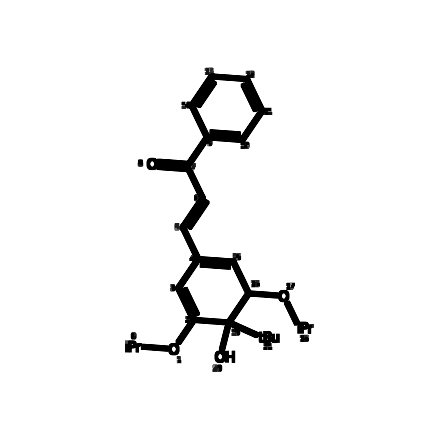 CC(C)OC1=CC(C=CC(=O)c2ccccc2)=CC(OC(C)C)C1(O)C(C)(C)C